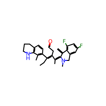 C=C1/C(=C(C)\C(CC=O)=C(/CC)c2ccc3c(c2C)NCCC3)N(C)Cc2cc(F)cc(F)c21